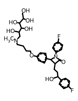 CN(CCCCOc1ccc(C2C(CCC(O)c3ccc(F)cc3)C(=O)N2c2ccc(F)cc2)cc1)CC(O)C(O)C(O)C(O)CO